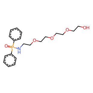 O=P(NCCOCCOCCOCCO)(c1ccccc1)c1ccccc1